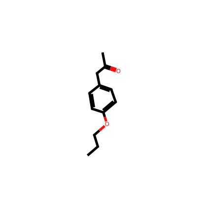 CCCOc1ccc(CC(C)=O)cc1